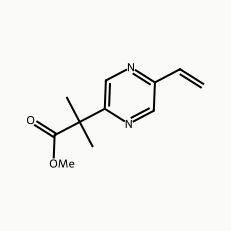 C=Cc1cnc(C(C)(C)C(=O)OC)cn1